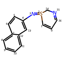 C1=CS(=Nc2ccc3ccccc3c2)CN=C1